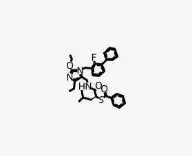 CCOc1nc(CC)c(CNC(=O)[C@H](CC(C)C)SC(=O)c2ccccc2)n1Cc1cccc(-c2ccccc2)c1F